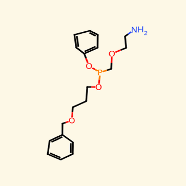 NCCOCP(OCCCOCc1ccccc1)Oc1ccccc1